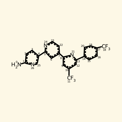 Nc1ccc(-c2cc(-c3cc(C(F)(F)F)cc(-c4ccc(C(F)(F)F)cc4)n3)ccn2)cn1